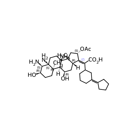 CC(=O)O[C@H]1C[C@@]2(C)[C@@H](C[C@@H](O)[C@@H]3[C@]2(N)CC[C@@]2(N)[C@H](N)[C@H](O)CC[C@]32C)/C1=C(/C(=O)O)C1CCCC(=C2CCCC2)C1